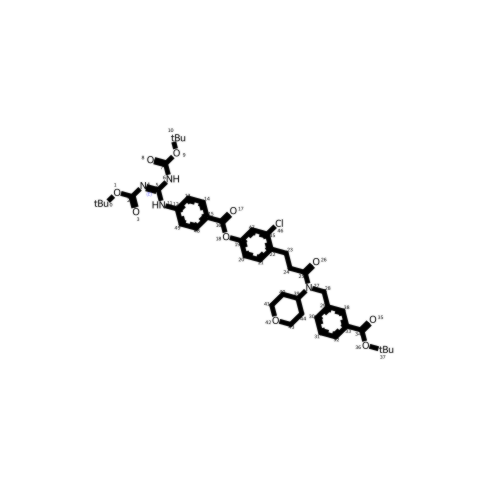 CC(C)(C)OC(=O)/N=C(/NC(=O)OC(C)(C)C)Nc1ccc(C(=O)Oc2ccc(CCC(=O)N(Cc3cccc(C(=O)OC(C)(C)C)c3)C3CCOCC3)c(Cl)c2)cc1